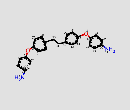 Nc1ccc(Oc2ccc(CCc3ccc(Oc4ccc(N)cc4)cc3)cc2)cc1